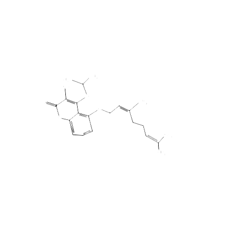 CC(C)=CCCC(C)=CCOc1cccc2oc(=O)c(O)c(OC(C)C)c12